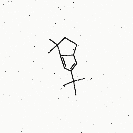 CC(C)(C)C1=CC2CCC(C)(C)C2=C1